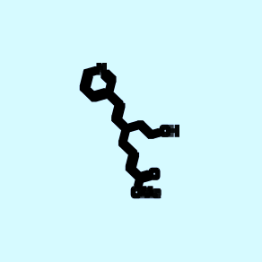 COC(=O)C=CCC(C=Cc1cccnc1)CCO